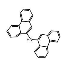 c1ccc2c(c1)cc(Nc1cc3ccccc3c3ccccc13)c1ccccc12